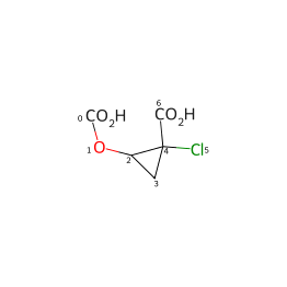 O=C(O)OC1CC1(Cl)C(=O)O